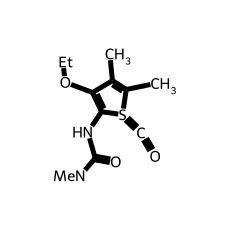 CCOC1=C(NC(=O)NC)S(=C=O)C(C)=C1C